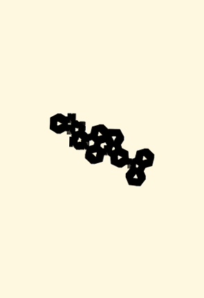 c1ccc(-c2ncnc3c2sc2nc4ccccc4n23)c(-c2ccccc2-n2c3ccccc3c3cc(-n4c5ccccc5c5ccccc54)ccc32)c1